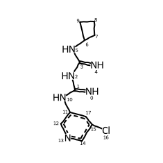 N=C(NC(=N)NC1CCC1)Nc1cncc(Cl)c1